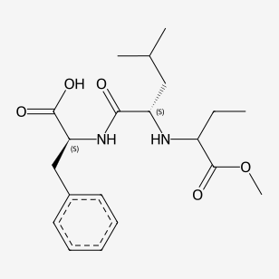 CCC(N[C@@H](CC(C)C)C(=O)N[C@@H](Cc1ccccc1)C(=O)O)C(=O)OC